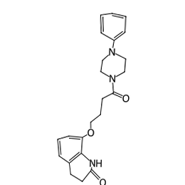 O=C1CCc2cccc(OCCCC(=O)N3CCN(c4ccccc4)CC3)c2N1